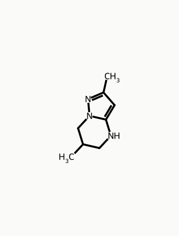 Cc1cc2n(n1)CC(C)CN2